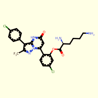 NCCCC[C@H](N)C(=O)Oc1cc(Cl)ccc1-c1cc(=O)[nH]c2c(-c3ccc(Cl)cc3)c(C(F)(F)F)nn12